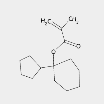 C=C(C)C(=O)OC1(C2CCCC2)CCCCC1